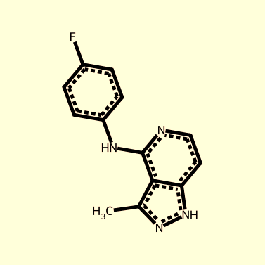 Cc1n[nH]c2ccnc(Nc3ccc(F)cc3)c12